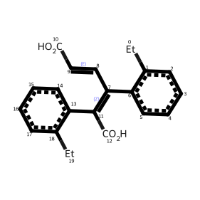 CCc1ccccc1C(/C=C/C(=O)O)=C(\C(=O)O)c1ccccc1CC